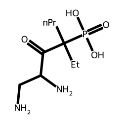 CCCC(CC)(C(=O)C(N)CN)P(=O)(O)O